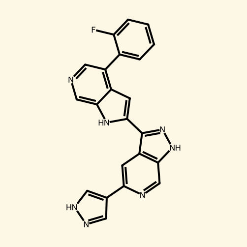 Fc1ccccc1-c1cncc2[nH]c(-c3n[nH]c4cnc(-c5cn[nH]c5)cc34)cc12